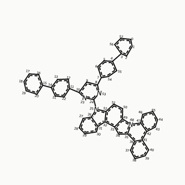 c1ccc(-c2ccc(-c3cc(-c4ccc(-c5ccccc5)cc4)nc(-n4c5ccccc5c5c6cc7c8ccccc8c8ccccc8n7c6ccc54)n3)cc2)cc1